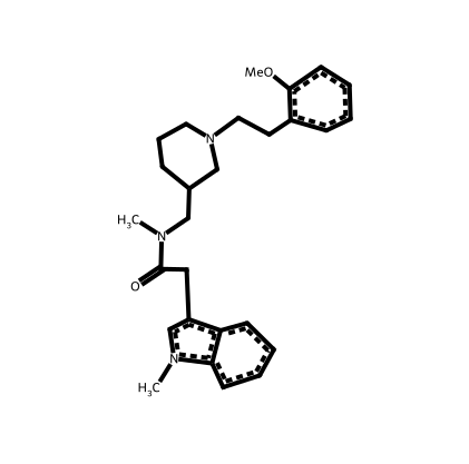 COc1ccccc1CCN1CCCC(CN(C)C(=O)Cc2cn(C)c3ccccc23)C1